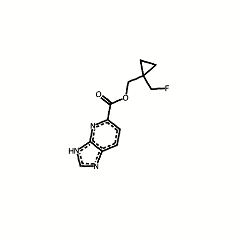 O=C(OCC1(CF)CC1)c1ccc2nc[nH]c2n1